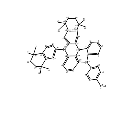 CC(C)(C)c1ccc(N2c3ccccc3B3c4cc5c(cc4N(c4ccc6c(c4)C(C)(C)CCC6(C)C)c4cccc2c43)C(C)(C)CCC5(C)C)cc1